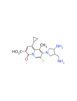 Cc1c(N2CC(N)C(CN)C2)c(F)cn2c(=O)c(C(=O)O)cc(C3CC3)c12